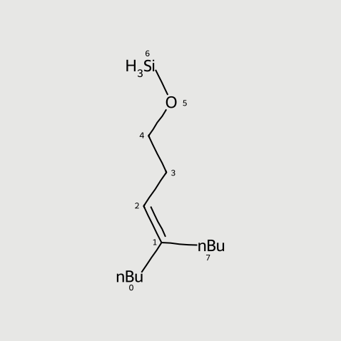 CCCCC(=CCCO[SiH3])CCCC